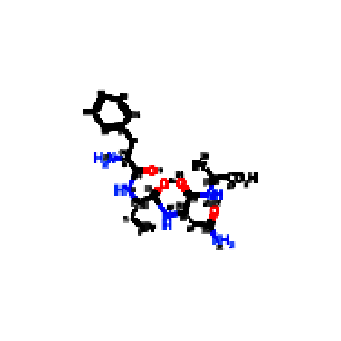 CC(C)C[C@H](NC(=O)[C@@H](N)Cc1ccccc1)C(=O)N[C@@H](CC(N)=O)C(=O)N[C@H](C(=O)O)C(C)C